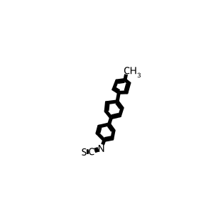 Cc1ccc(-c2ccc(-c3ccc(N=C=S)cc3)cc2)cc1